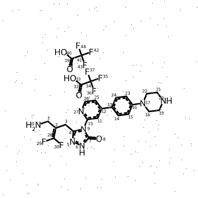 NCC(Cc1n[nH]c(=O)n1-c1cc(-c2ccc(N3CCNCC3)cc2)ccn1)=C(F)F.O=C(O)C(F)(F)F.O=C(O)C(F)(F)F